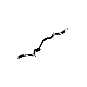 O=C=N/C=C/C=C/N=C=O